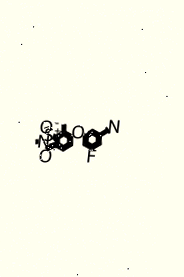 Cc1c(Oc2cc(F)cc(C#N)c2)ccc2c(=O)n(C)[s+]([O-])c12